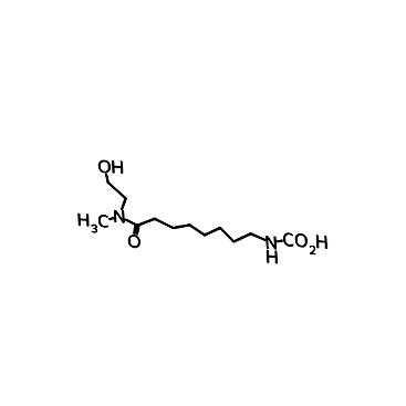 CN(CCO)C(=O)CCCCCCCNC(=O)O